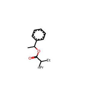 CCCC(CC)C(=O)OC(C)c1ccccc1